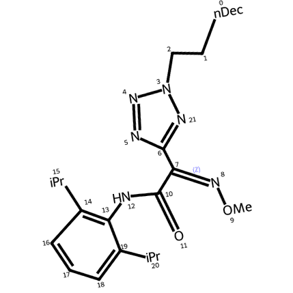 CCCCCCCCCCCCn1nnc(/C(=N/OC)C(=O)Nc2c(C(C)C)cccc2C(C)C)n1